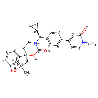 Cn1ccc(-c2ccc([C@H](C3CC3)N3CC[C@@](CC(C)(C)O)(c4ccccc4)OC3=O)cc2)cc1=O